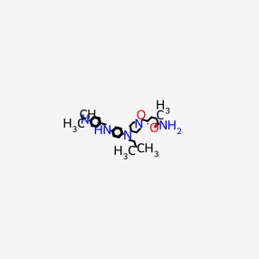 CC(C)CCN(c1ccc(NCc2ccc(N(C)C)cc2)cc1)C1CCN(C(=O)[CH]CC(C)C(N)=O)CC1